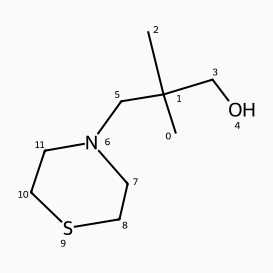 CC(C)(CO)CN1CCSCC1